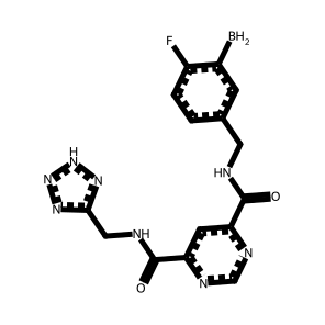 Bc1cc(CNC(=O)c2cc(C(=O)NCc3nn[nH]n3)ncn2)ccc1F